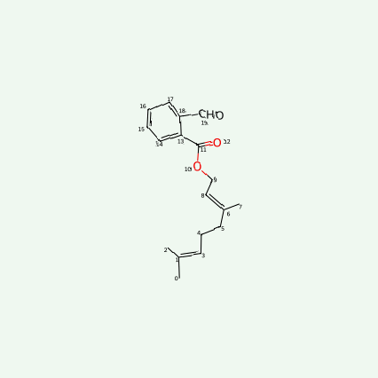 CC(C)=CCC/C(C)=C/COC(=O)c1ccccc1C=O